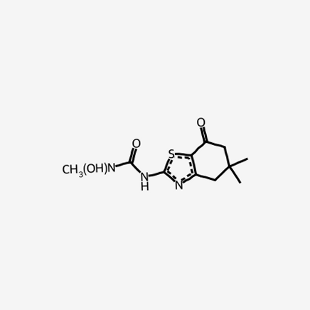 CN(O)C(=O)Nc1nc2c(s1)C(=O)CC(C)(C)C2